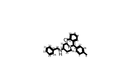 Cc1ccc(C(c2ccccc2Cl)N2CCC(NCc3ccccc3)CC2)cc1